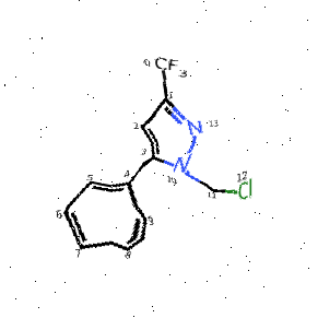 FC(F)(F)c1cc(-c2ccccc2)n(CCl)n1